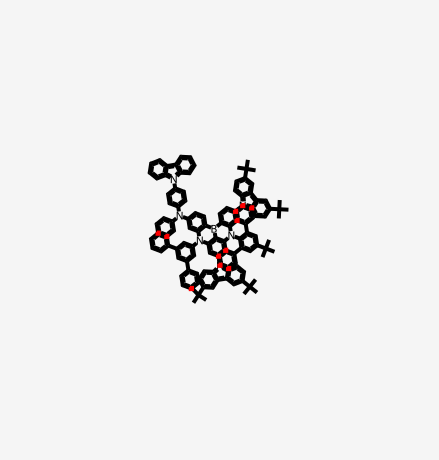 CC(C)(C)c1cc(-c2ccccc2)c(N2c3cc(-n4c5ccc(C(C)(C)C)cc5c5cc(C(C)(C)C)ccc54)ccc3B3c4ccc(N(c5ccccc5)c5ccc(-n6c7ccccc7c7ccccc76)cc5)cc4N(c4cc(-c5ccccc5)cc(-c5ccccc5)c4)c4cc(-n5c6ccc(C(C)(C)C)cc6c6cc(C(C)(C)C)ccc65)cc2c43)c(-c2ccccc2)c1